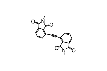 CN1C(=O)c2cccc(C#Cc3cccc4c3C(=O)N(C)C4=O)c2C1=O